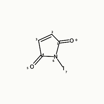 O=C1C=CC(=O)N1I